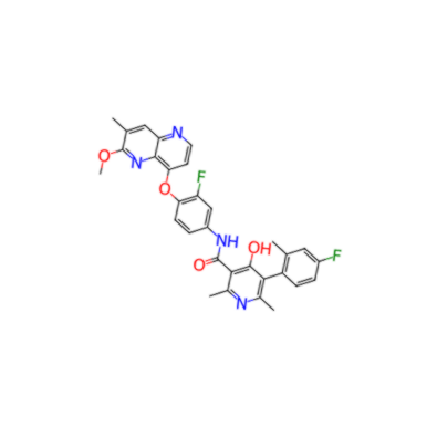 COc1nc2c(Oc3ccc(NC(=O)c4c(C)nc(C)c(-c5ccc(F)cc5C)c4O)cc3F)ccnc2cc1C